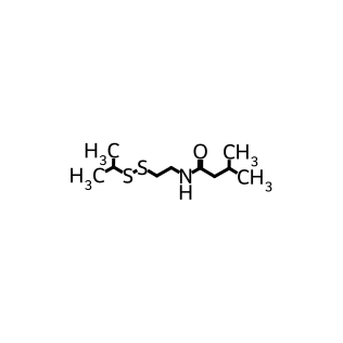 CC(C)CC(=O)NCCSSC(C)C